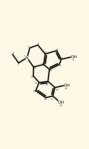 CCN1CCc2cc(O)cc3c2C1Cc1ccc(O)c(O)c1-3